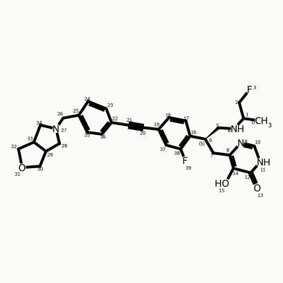 CC(CF)NC[C@@H](Cc1nc[nH]c(=O)c1O)c1ccc(C#Cc2ccc(CN3CC4COCC4C3)cc2)cc1F